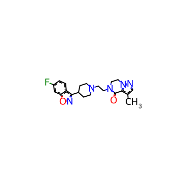 Cc1cnn2c1C(=O)N(CCN1CCC(c3noc4cc(F)ccc34)CC1)CC2